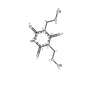 N#COCn1c(=O)[nH]c(=O)n(COC#N)c1=O